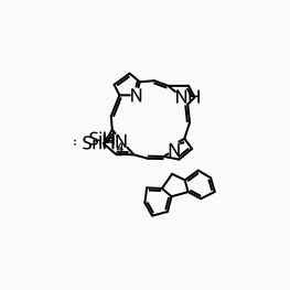 C1=Cc2cc3ccc(cc4nc(cc5ccc(cc1n2)[nH]5)C=C4)[nH]3.[SiH4].[SnH2].c1ccc2c(c1)Cc1ccccc1-2